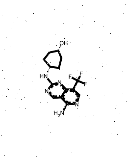 Nc1ncc(C(F)(F)F)c2nc(N[C@H]3CC[C@@H](O)CC3)ncc12